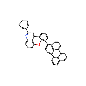 C1=CC(c2cc3c4c(cccc4n2)Oc2c(-c4ccc5c6cccc7cccc(c8cccc4c85)c76)cccc2-3)=CCC1